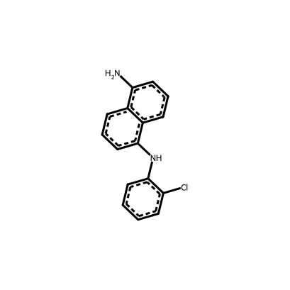 Nc1cccc2c(Nc3ccccc3Cl)cccc12